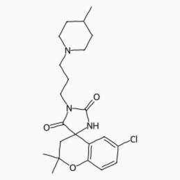 CC1CCN(CCCN2C(=O)NC3(CC(C)(C)Oc4ccc(Cl)cc43)C2=O)CC1